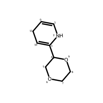 C1=CNC([C]2COCCO2)=CC1